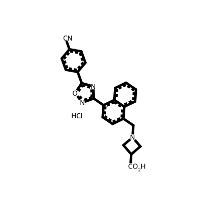 Cl.N#Cc1ccc(-c2nc(-c3ccc(CN4CC(C(=O)O)C4)c4ccccc34)no2)cc1